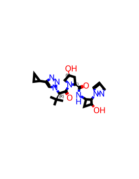 CC(C)(C)[C@H](C(=O)N1C[C@H](O)C[C@H]1C(=O)NC1CC(O)C1n1cccn1)n1cc(C2CC2)nn1